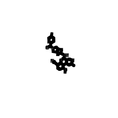 COc1ccc(C#N)cc1-c1cc(C)ncc1C(=O)Nc1nc2c(s1)CN(C(=O)c1ccc(C)cn1)C2